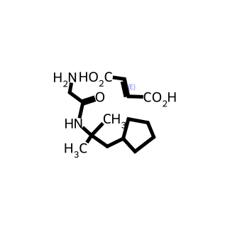 CC(C)(CC1CCCC1)NC(=O)CN.O=C(O)/C=C/C(=O)O